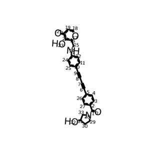 O=C(c1ccc(C#CC#Cc2ccc(NCc3occc(=O)c3O)cc2)cc1)N1CCC(O)C1